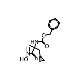 CC(CC1CC1)(NC(=O)OCc1ccccc1)C(=N)NO